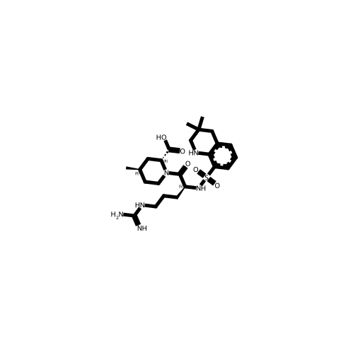 C[C@@H]1CCN(C(=O)[C@H](CCCNC(=N)N)NS(=O)(=O)c2cccc3c2NCC(C)(C)C3)[C@@H](C(=O)O)C1